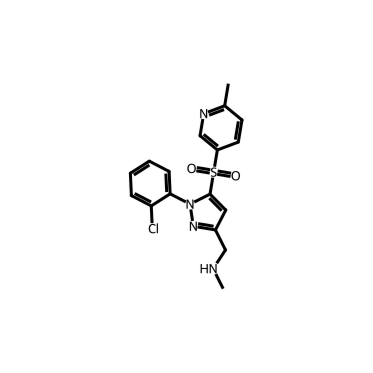 CNCc1cc(S(=O)(=O)c2ccc(C)nc2)n(-c2ccccc2Cl)n1